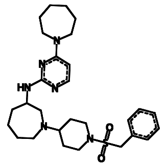 O=S(=O)(Cc1ccccc1)N1CCC(N2CCCCC(Nc3nccc(N4CCCCCC4)n3)C2)CC1